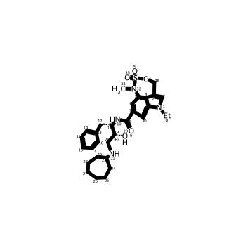 CCn1cc2c3c(cc(C(=O)N[C@@H](Cc4ccccc4)[C@H](O)CNC4CCCCCC4)cc31)N(C)S(=O)(=O)CC2